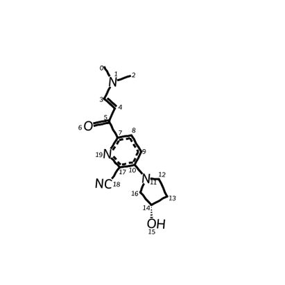 CN(C)/C=C/C(=O)c1ccc(N2CC[C@H](O)C2)c(C#N)n1